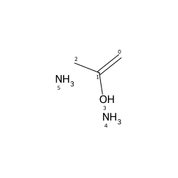 C=C(C)O.N.N